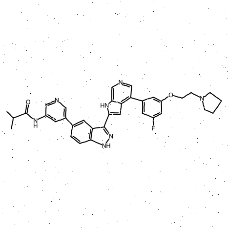 CC(C)C(=O)Nc1cncc(-c2ccc3[nH]nc(-c4cc5c(-c6cc(F)cc(OCCN7CCCC7)c6)cncc5[nH]4)c3c2)c1